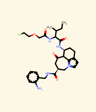 CCC(C)C(NC(=O)COCCF)C(=O)N[C@H]1CCc2ccn3c2C1C(=O)C[C@H](C(=O)NCc1ccccc1N)C3